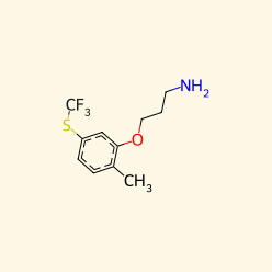 Cc1ccc(SC(F)(F)F)cc1OCCCN